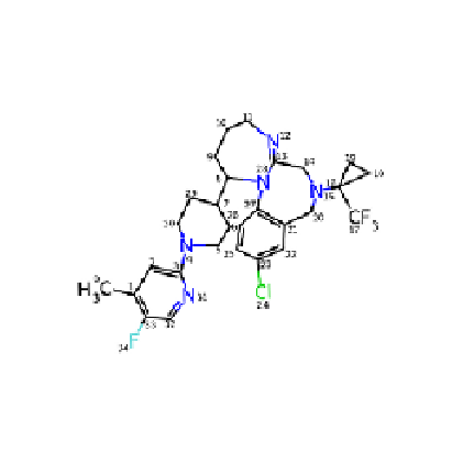 Cc1cc(N2CCC(C3CCCN=C4CN(C5(C(F)(F)F)CC5)Cc5cc(Cl)ccc5N43)CC2)ncc1F